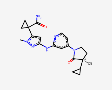 Cn1nc(Nc2cc(N3CC[C@@](C#N)(C4CC4)C3=O)ccn2)cc1C1(C(N)=O)CC1